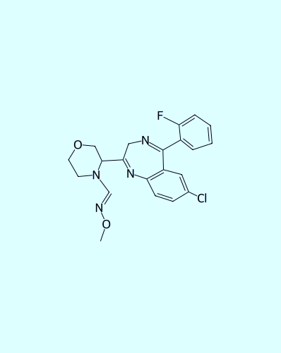 CON=CN1CCOCC1C1=Nc2ccc(Cl)cc2C(c2ccccc2F)=NC1